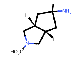 CC1(N)C[C@H]2CN(C(=O)O)C[C@H]2C1